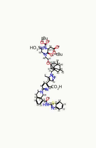 Cc1c(-c2ccc(N3CCc4cccc(C(=O)Nc5nc6ccccc6s5)c4C3)nc2C(=O)O)cnn1CC12CC3(C)CC(C)(C1)CC(OCCN(CCS(=O)(=O)O)C(=O)C(CC(=O)OC(C)(C)C)NC(=O)OC(C)(C)C)(C3)C2